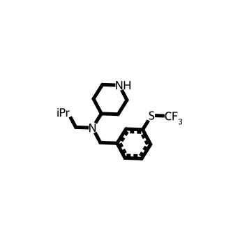 CC(C)CN(Cc1cccc(SC(F)(F)F)c1)C1CCNCC1